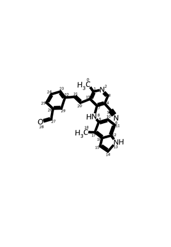 Cc1ncc(C#N)c(Nc2ccc3[nH]ccc3c2C)c1/C=C/c1cccc(C=O)c1